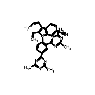 C=Cc1c(/C=C\C)c2ccc(C#N)cc2n1-c1ccc(-c2nc(C)nc(C)n2)cc1-c1nc(C)nc(C)n1